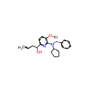 C=CCC(O)c1ccc(OCC)c(N(Cc2ccccc2)C2CCCC2)n1